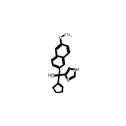 COc1ccc2cc(C(O)(c3c[nH]cn3)C3CCCC3)ccc2c1